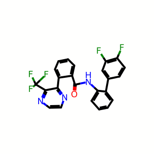 O=C(Nc1ccccc1-c1ccc(F)c(F)c1)c1ccccc1-c1nccnc1C(F)(F)F